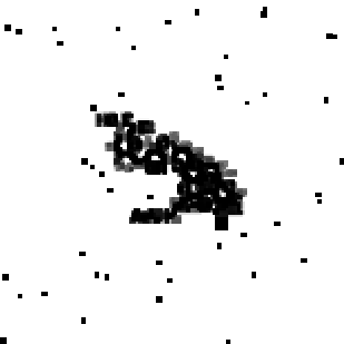 CCC(C(=O)[C@@H](C)[C@@H](O)[C@H](C)[C@@H]1O[C@@H]([C@@H](CC)C(=O)O)CC[C@@H]1C)[C@H]1O[C@]2(C=C[C@@H](NC(=O)C(=O)NCCNC(C)=O)[C@]3(CC[C@@](C)([C@H]4CC[C@](O)(CC)[C@H](C)O4)O3)O2)[C@H](C)C[C@@H]1C